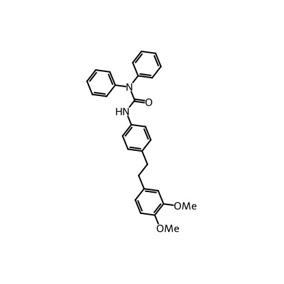 COc1ccc(CCc2ccc(NC(=O)N(c3ccccc3)c3ccccc3)cc2)cc1OC